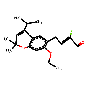 CCOc1cc2c(cc1CC=C(F)C=O)C(C(C)C)=CC(C)(C)O2